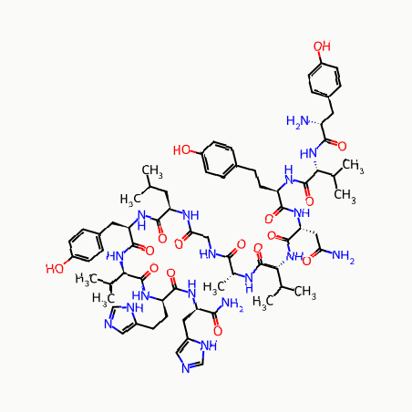 CC(C)C[C@@H](NC(=O)CNC(=O)[C@@H](C)NC(=O)[C@H](NC(=O)[C@@H](CC(N)=O)NC(=O)[C@@H](CCc1ccc(O)cc1)NC(=O)[C@H](NC(=O)[C@H](N)Cc1ccc(O)cc1)C(C)C)C(C)C)C(=O)N[C@H](Cc1ccc(O)cc1)C(=O)N[C@@H](C(=O)N[C@H](CCc1cnc[nH]1)C(=O)N[C@H](Cc1cnc[nH]1)C(N)=O)C(C)C